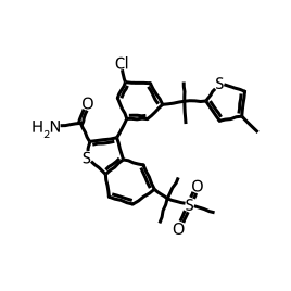 Cc1csc(C(C)(C)c2cc(Cl)cc(-c3c(C(N)=O)sc4ccc(C(C)(C)S(C)(=O)=O)cc34)c2)c1